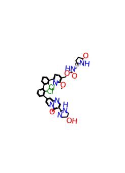 COc1nc(-c2cccc(-c3cccc(-c4ccn5c(=O)c(C6=NCC(O)CN6)cnc5c4)c3Cl)c2Cl)ccc1COC(=O)NC[C@@H]1CCC(=O)N1